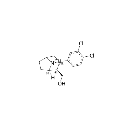 CN1C2CC[C@@H]1[C@H](CO)[C@@H](c1ccc(Cl)c(Cl)c1)C2